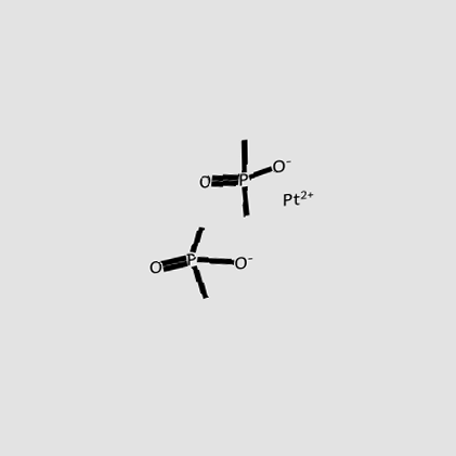 CP(C)(=O)[O-].CP(C)(=O)[O-].[Pt+2]